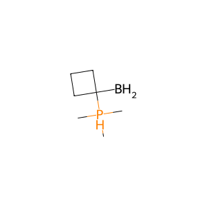 BC1([PH](C)(C)C)CCC1